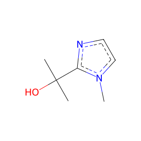 Cn1ccnc1C(C)(C)O